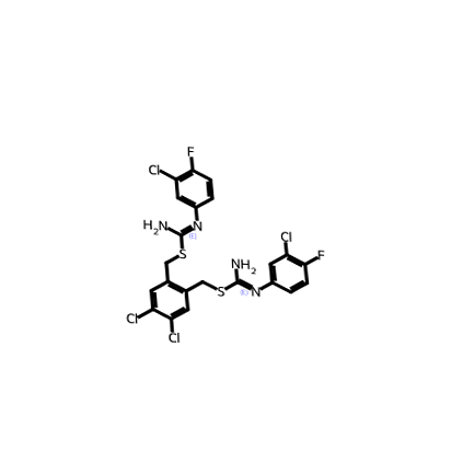 N/C(=N\c1ccc(F)c(Cl)c1)SCc1cc(Cl)c(Cl)cc1CS/C(N)=N/c1ccc(F)c(Cl)c1